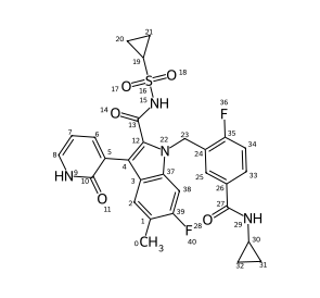 Cc1cc2c(-c3ccc[nH]c3=O)c(C(=O)NS(=O)(=O)C3CC3)n(Cc3cc(C(=O)NC4CC4)ccc3F)c2cc1F